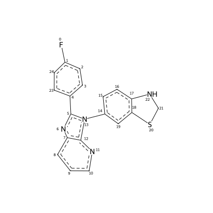 Fc1ccc(-c2nc3cccnc3n2-c2ccc3c(c2)SCN3)cc1